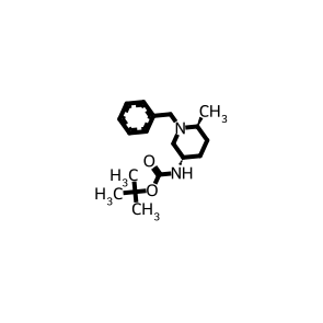 C[C@H]1CC[C@H](NC(=O)OC(C)(C)C)CN1Cc1ccccc1